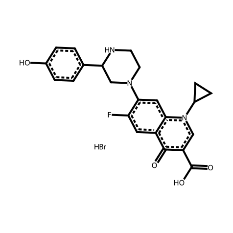 Br.O=C(O)c1cn(C2CC2)c2cc(N3CCNC(c4ccc(O)cc4)C3)c(F)cc2c1=O